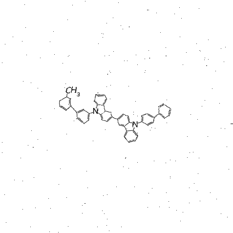 CC1C=C(c2cccc(N3C4=CC=C(c5ccc6c(c5)c5ccccc5n6-c5ccc(-c6ccccc6)cc5)CC4c4ccccc43)c2)C=CC1